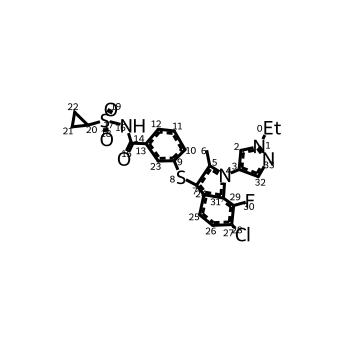 CCn1cc(-n2c(C)c(Sc3cccc(C(=O)NS(=O)(=O)C4CC4)c3)c3ccc(Cl)c(F)c32)cn1